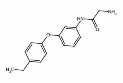 CCc1ccc(Oc2cccc(NC(=O)CN)c2)cc1